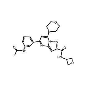 CC(=O)Nc1cccc(-c2cc(N3CCOCC3)n3nc(C(=O)NC4COC4)cc3n2)c1